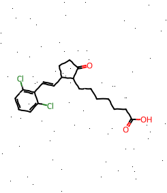 O=C(O)CCCCCCC1C(=O)CCC1/C=C/c1c(Cl)cccc1Cl